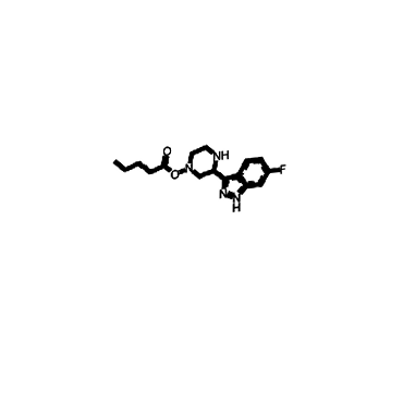 CCCCC(=O)ON1CCNC(c2n[nH]c3cc(F)ccc23)C1